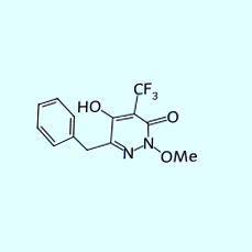 COn1nc(Cc2ccccc2)c(O)c(C(F)(F)F)c1=O